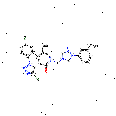 COc1cn(CN2CNN(c3cccc(C(=O)O)c3)C2)c(=O)cc1-c1cc(Cl)ccc1-n1cc(Cl)nn1